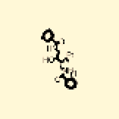 CCO[C@H](CNC(=O)c1ccccc1Cl)[C@@H](O)CNC(=O)c1ccccc1